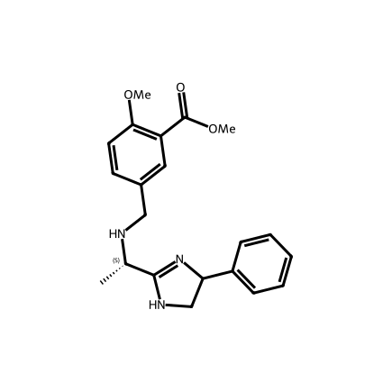 COC(=O)c1cc(CN[C@@H](C)C2=NC(c3ccccc3)CN2)ccc1OC